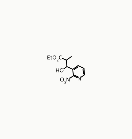 CCOC(=O)C(C)C(O)c1cccnc1[N+](=O)[O-]